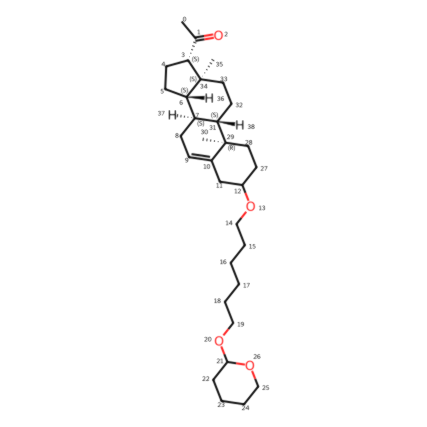 CC(=O)[C@H]1CC[C@H]2[C@@H]3CC=C4CC(OCCCCCCOC5CCCCO5)CC[C@]4(C)[C@H]3CC[C@]12C